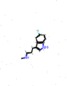 CNCCCc1c[nH]c2ccc(F)cc12